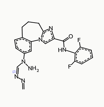 C=N/N=C\N(N)c1ccc2c(c1)-n1cc(C(=O)Nc3c(F)cccc3F)nc1CCC2